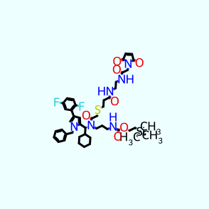 C[Si](C)(C)CCOC(=O)NCCCN(C(=O)CSCCC(=O)NCCNC(=O)CN1C(=O)C=CC1=O)[C@@H](c1cc(-c2cc(F)ccc2F)cn1Cc1ccccc1)C1CCCCC1